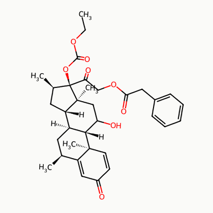 CCOC(=O)O[C@]1(C(=O)COC(=O)Cc2ccccc2)[C@H](C)C[C@H]2[C@@H]3C[C@H](C)C4=CC(=O)C=C[C@]4(C)[C@H]3C(O)C[C@@]21C